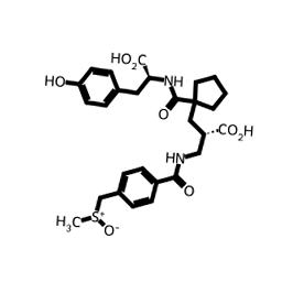 C[S+]([O-])Cc1ccc(C(=O)NC[C@H](CC2(C(=O)N[C@@H](Cc3ccc(O)cc3)C(=O)O)CCCC2)C(=O)O)cc1